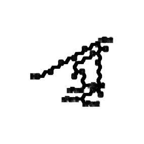 CCCCCCCCN(CCOCCOCCOCCOCCO)C(=O)C(COCCCCCC(=O)OCCC(CCCCC)CCCCC)OCCCCCC(=O)OCCC(CCCCC)CCCCC